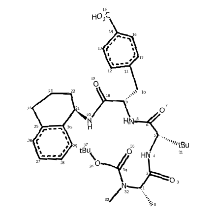 C[C@@H](C(=O)N[C@H](C(=O)N[C@@H](Cc1ccc(C(=O)O)cc1)C(=O)N[C@@H]1CCCc2ccccc21)C(C)(C)C)N(C)C(=O)OC(C)(C)C